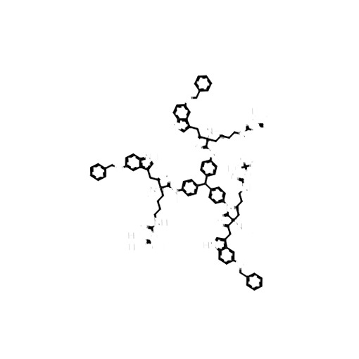 CC(C)(C)OC(=O)NCCCC[C@@](N)(C(=O)Cc1c[nH]c2ccc(OCc3ccccc3)cc12)C(=O)Nc1ccc(C(c2ccc(NC(=O)[C@@](N)(CCCCNC(=O)OC(C)(C)C)C(=O)Cc3c[nH]c4ccc(OCc5ccccc5)cc34)cc2)c2ccc(NC(=O)[C@@](N)(CCCCNC(=O)OC(C)(C)C)C(=O)Cc3c[nH]c4ccc(OCc5ccccc5)cc34)cc2)cc1